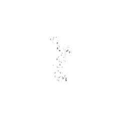 O=C(Nc1ccc(-n2nc(-c3cccnc3)cc2C(F)(F)F)cn1)c1ccc(F)c(C(F)(F)F)c1